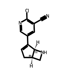 N#Cc1cc(C2=CC[C@@H]3CN[C@H]23)cnc1Cl